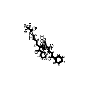 CCOC(=O)C(CC(=O)c1ccccc1)N1CCC[C@]1(C(=O)O)C(=O)[C@@H](N)CCCCNC(=O)C(F)(F)F